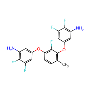 Nc1cc(Oc2ccc(C(F)(F)F)c(Oc3cc(N)c(F)c(F)c3)c2F)cc(F)c1F